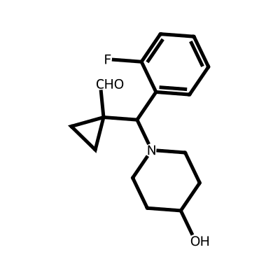 O=CC1(C(c2ccccc2F)N2CCC(O)CC2)CC1